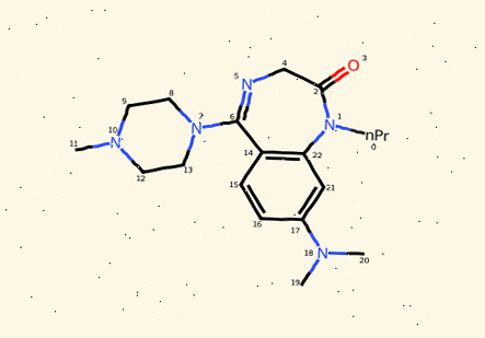 CCCN1C(=O)CN=C(N2CCN(C)CC2)c2ccc(N(C)C)cc21